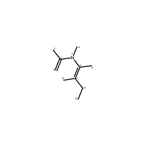 C=C(C)N(C)/C(C)=C(\C)CC